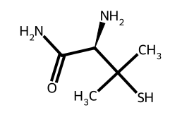 CC(C)(S)[C@H](N)C(N)=O